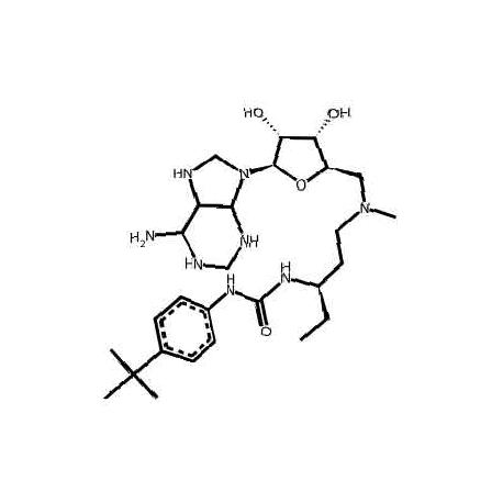 CC[C@H](CCN(C)C[C@H]1O[C@@H](N2CNC3C(N)NCNC32)[C@H](O)[C@@H]1O)NC(=O)Nc1ccc(C(C)(C)C)cc1